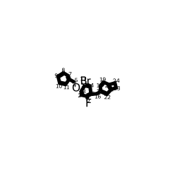 Fc1cc(OCc2ccccc2)c(Br)cc1Cc1ccc2c(c1)CC2